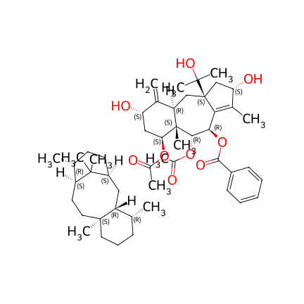 C=C1[C@H]2C[C@]3(C(C)(C)O)C[C@H](O)C(C)=C3[C@@H](OC(=O)c3ccccc3)[C@H](OC(C)=O)[C@]2(C)[C@@H](OC(C)=O)C[C@@H]1O.C[C@@H]1CCC[C@@]2(C)CC[C@H]3[C@H](C)CC[C@@H](C[C@H]12)C3(C)C